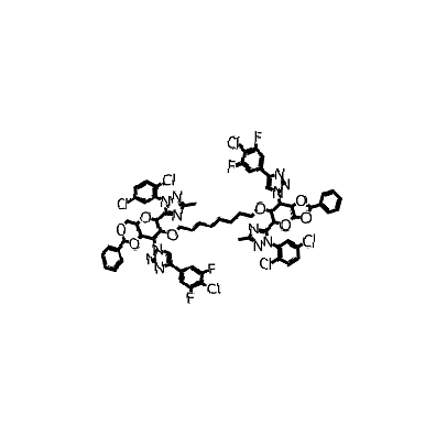 Cc1nc(C2OC3COC(c4ccccc4)OC3C(n3cc(-c4cc(F)c(Cl)c(F)c4)nn3)C2OCCCCCCCCOC2C(c3nc(C)nn3-c3cc(Cl)ccc3Cl)OC3OC(c4ccccc4)OC3C2n2cc(-c3cc(F)c(Cl)c(F)c3)nn2)n(-c2cc(Cl)ccc2Cl)n1